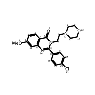 COc1ccc2c(=O)n(CCN3CCOCC3)c(-c3ccc(Cl)cc3)nc2c1